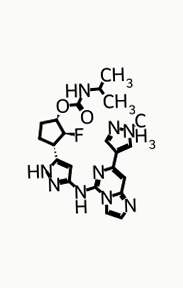 CC(C)NC(=O)O[C@H]1CC[C@@H](c2cc(Nc3nc(-c4cnn(C)c4)cc4nccn34)n[nH]2)[C@@H]1F